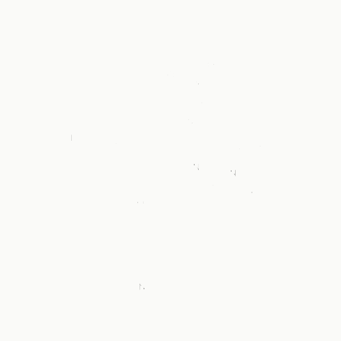 CCOC(=O)c1sc2c(c1C)c(=O)n(C(C)(C)C)c(=O)n2CCc1cc(F)ccc1OCCC#N